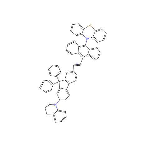 C(=C\c1c2ccccc2c(N2c3ccccc3Sc3ccccc32)c2ccccc12)/c1ccc2c(c1)C(c1ccccc1)(c1ccccc1)c1cc(N3CCCc4ccccc43)ccc1-2